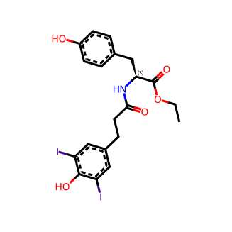 CCOC(=O)[C@H](Cc1ccc(O)cc1)NC(=O)CCc1cc(I)c(O)c(I)c1